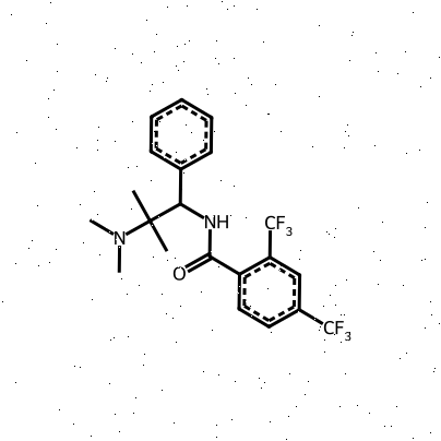 CN(C)C(C)(C)C(NC(=O)c1ccc(C(F)(F)F)cc1C(F)(F)F)c1ccccc1